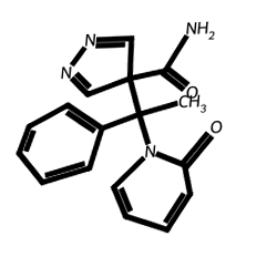 CC(c1ccccc1)(n1ccccc1=O)C1(C(N)=O)C=NN=C1